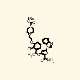 CC(Oc1cc(-n2cnc3ccccc32)sc1C(N)=O)c1cccc(OCCN2CCN(C(=O)OC(C)(C)C)CC2)c1Cl